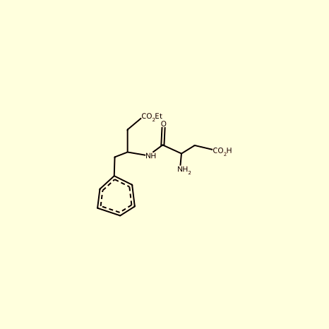 CCOC(=O)CC(Cc1ccccc1)NC(=O)C(N)CC(=O)O